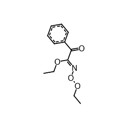 CCOON=C(OCC)C(=O)c1ccccc1